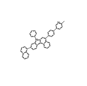 Cc1ccc(-c2ccc(-c3cc4c(c5ccccc35)c3ccc(-c5cccc6ccccc56)cc3n4-c3ccccc3)cc2)cn1